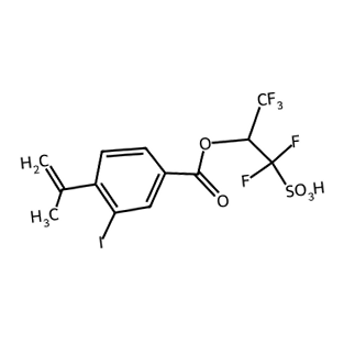 C=C(C)c1ccc(C(=O)OC(C(F)(F)F)C(F)(F)S(=O)(=O)O)cc1I